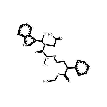 CCOC(=O)C(CCN[C@@H](C)C(=O)N(CC(=O)O)C(C)c1c[nH]c2ccccc12)c1ccccc1